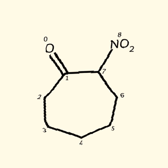 O=C1CCCCCC1[N+](=O)[O-]